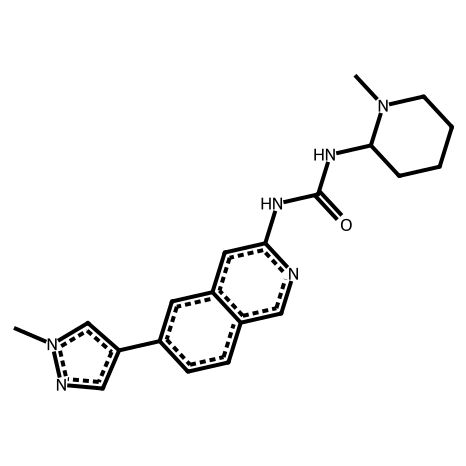 CN1CCCCC1NC(=O)Nc1cc2cc(-c3cnn(C)c3)ccc2cn1